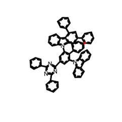 c1ccc(-c2cc(-c3ccccc3)c3c4ccccc4n(-c4cc(-c5nc(-c6ccccc6)nc(-c6ccccc6)n5)cc(-n5c6ccccc6c6ccccc65)c4-c4ccccc4)c3c2)cc1